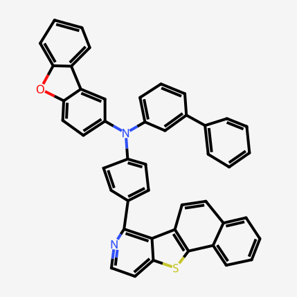 c1ccc(-c2cccc(N(c3ccc(-c4nccc5sc6c7ccccc7ccc6c45)cc3)c3ccc4oc5ccccc5c4c3)c2)cc1